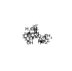 CN(C[C@@]1(COc2nc(N3CC4CC[C@@](C)(C3)N4)c3cc(F)c(-c4cc(O)cc5cccc(Cl)c45)c(F)c3n2)CC1(F)F)[C@@H]1CCC[C@H]1O